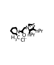 CCCc1sc[n+](CC(=O)N2CCCCC2C)c1CCC.[Cl-]